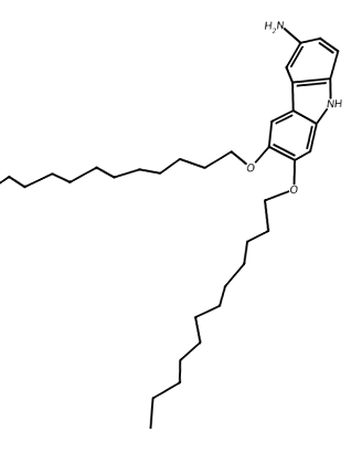 CCCCCCCCCCCCOc1cc2[nH]c3ccc(N)cc3c2cc1OCCCCCCCCCCCC